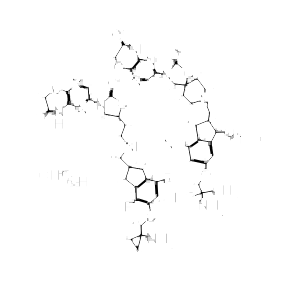 CC(C)(N)COc1cc(C#N)c2c(c1)C(OC=O)C(CN1CCC3(CC1)CN(c1cnc4c(n1)NC(=O)CO4)C(=O)O3)C2.NC1(COc2cc(F)c3c(c2F)CC(CNCCC2CN(c4cnc5c(n4)NC(=O)CO5)C(=O)O2)C3)CC1.O=CO